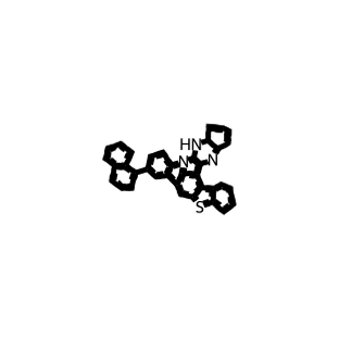 C1=CC2=Nc3c(n4c5ccc(-c6cccc7ccccc67)cc5c5cc6sc7ccccc7c6c3c54)NC2C=C1